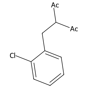 CC(=O)C(Cc1ccccc1Cl)C(C)=O